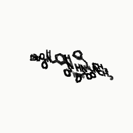 CN(C)C(=O)[C@H](Cc1ccccc1)NC(=O)[C@H]1O[C@@H]1C(=O)Nc1cccc(CNC(=O)OC(C)(C)C)c1